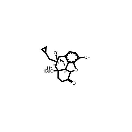 CC(C)COC12CCC(=O)C3Oc4c(O)ccc5c4[C@@]31CC[N+]([O-])(CC1CC1)[C@@H]2C5